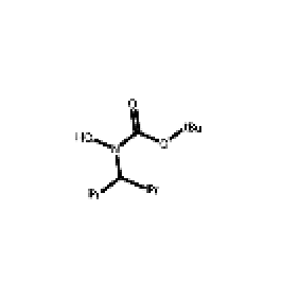 CC(C)C(C(C)C)N(O)C(=O)OC(C)(C)C